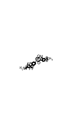 COC(=O)CC(c1ccc(NC(=O)C2c3ccc(S(C)(=O)=O)cc3CN2C(=O)O)cc1)(C(F)(F)F)C(F)(F)F